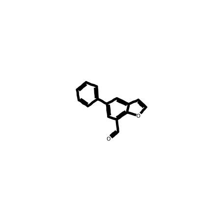 O=Cc1cc(-c2ccccc2)cc2ccoc12